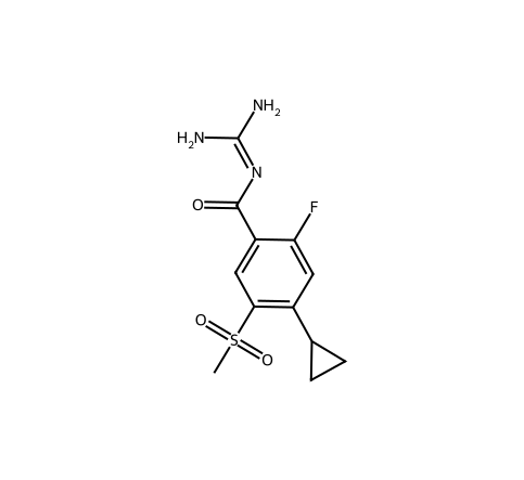 CS(=O)(=O)c1cc(C(=O)N=C(N)N)c(F)cc1C1CC1